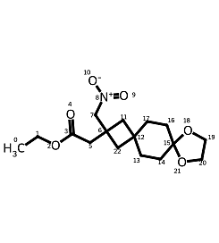 CCOC(=O)CC1(C[N+](=O)[O-])CC2(CCC3(CC2)OCCO3)C1